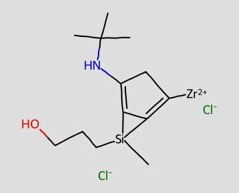 CC(C)(C)NC1=C2C(=[C]([Zr+2])C1)[Si]2(C)CCCO.[Cl-].[Cl-]